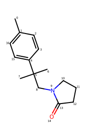 Cc1ccc(C(C)(C)CN2CCCC2=O)cc1